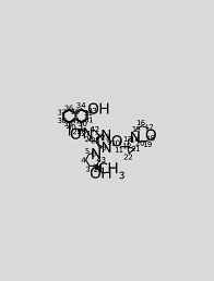 C[C@@]1(O)CCCN(c2nc(OCC3(CN4CCCOCC4)CC3)nc3c2CN(C(=O)c2cc(O)cc4cccc(I)c24)C3)C1